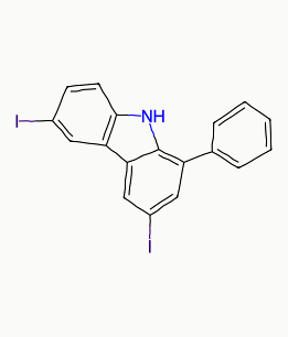 Ic1ccc2[nH]c3c(-c4ccccc4)cc(I)cc3c2c1